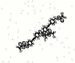 C=CC(=O)Oc1c(C(=O)Oc2ccc(C#Cc3ccc(OC(=O)OC(=O)C(=C)C)cc3)cc2)ccc(C#Cc2ccc(CCOC(=O)C(=C)C)cc2)c1OC(=O)C(=C)C